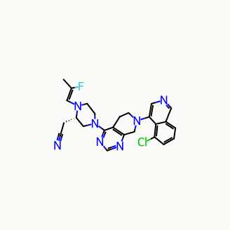 CC(F)=CN1CCN(c2ncnc3c2CCN(c2cncc4cccc(Cl)c24)C3)C[C@@H]1CC#N